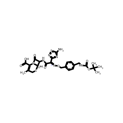 CC1=C(C(=O)O)N2C(=O)C(NC(=O)/C(=N/OCc3ccc(CNC(=O)OC(C)(C)C)cc3)c3nsc(N)n3)[C@H]2SC1